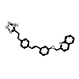 C(=C\c1cccc(OCc2ccc3ccccc3n2)c1)/c1ccc(CCc2nnn[nH]2)cc1